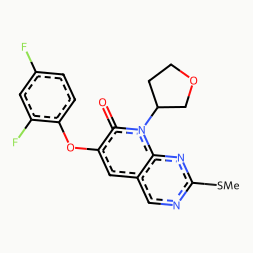 CSc1ncc2cc(Oc3ccc(F)cc3F)c(=O)n(C3CCOC3)c2n1